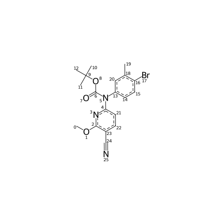 COc1nc(N(C(=O)OC(C)(C)C)c2ccc(Br)c(C)c2)ccc1C#N